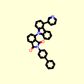 O=C1c2cccc(-n3c4ccccc4c4c(-c5cccnc5)cccc43)c2C(=O)N1c1ccc(-c2ccccc2)cc1